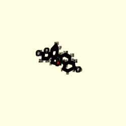 BCC12CCC3C4CCC(=O)C=C4C=CC3C1C1CC1C21C=CC(=O)O1